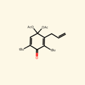 C=CCC1=C(C(C)(C)C)C(=O)C(C(C)(C)C)=CC1(OC(C)=O)OC(C)=O